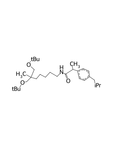 CC(C)Cc1ccc(C(C)C(=O)NCCCCCC(C)(COC(C)(C)C)COC(C)(C)C)cc1